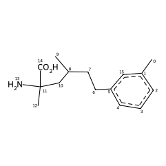 Cc1cccc(CCC(C)CC(C)(N)C(=O)O)c1